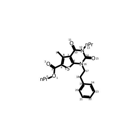 CCCOC(=O)c1sc2c(c1C)c(=O)n(CCC)c(=O)n2CCc1ccccc1